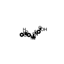 O=C(O)c1ccc2nc(Sc3nnnn3-c3ccc(S(=O)(=O)Nc4ccccc4)cc3)sc2c1